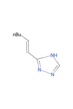 [CH2]CCCC=Cc1nnc[nH]1